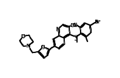 Cc1cc(Br)cc(Cl)c1Nc1c(C#N)cnc2cc(-c3ccc(CN4CCOCC4)o3)ccc12